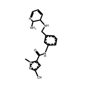 Cn1nc(C#N)cc1C(=O)Nc1cccc(CNC2C=CC=NC2N)c1